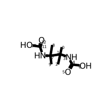 CC(C)(NC(=O)O)C(C)(C)NC(=O)O